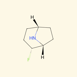 F[C@@H]1CC[C@@H]2CC[C@H]1N2